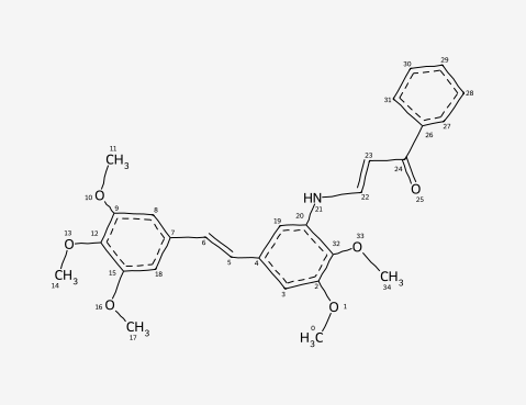 COc1cc(C=Cc2cc(OC)c(OC)c(OC)c2)cc(NC=CC(=O)c2ccccc2)c1OC